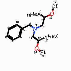 CCCCCCC(CN(Cc1ccccc1)CC(CCCCCC)OCC)OCC